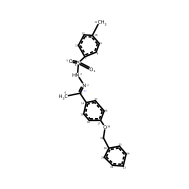 C/C(=N\NS(=O)(=O)c1ccc(C)cc1)c1ccc(OCc2ccccc2)cc1